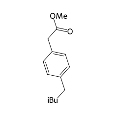 CCC(C)Cc1ccc(CC(=O)OC)cc1